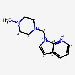 CN1CCN(Cn2ccc3cccnc32)CC1